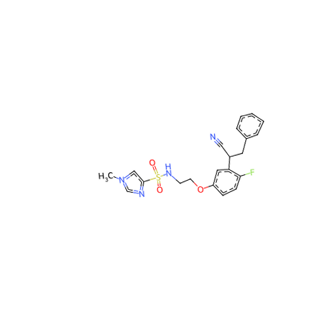 Cn1cnc(S(=O)(=O)NCCOc2ccc(F)c(C(C#N)Cc3ccccc3)c2)c1